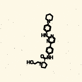 O=C(Nc1ccc(-c2ccnc(Nc3ccc(N4CCCCC4)cc3)n2)cc1)[C@@H]1CCCN1CCO